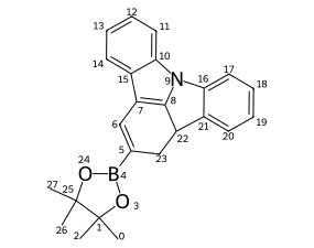 CC1(C)OB(C2=Cc3c4n(c5ccccc35)-c3ccccc3C4C2)OC1(C)C